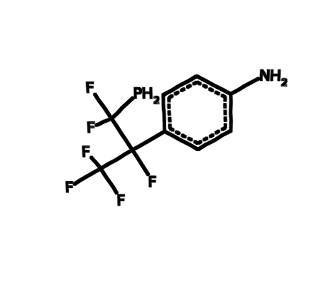 Nc1ccc(C(F)(C(F)(F)F)C(F)(F)P)cc1